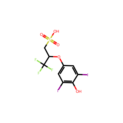 O=S(=O)(O)CC(Oc1cc(I)c(O)c(I)c1)C(F)(F)F